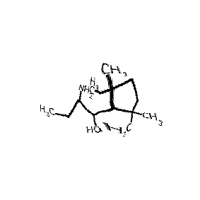 CCC(N)C(O)C1C(C)(C)CCC1(C)C